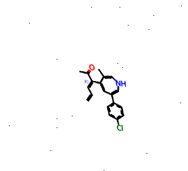 C=C/C=C(/C(C)=O)C1=CC(c2ccc(Cl)cc2)=CNC=C1C